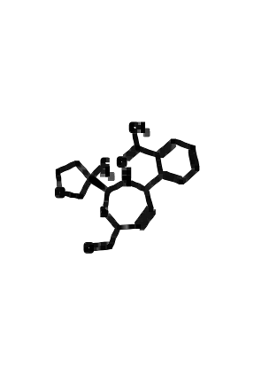 CC(=O)c1ccccc1C1C#CC(C=O)S[C@@H](C2(C)CCOC2)N1